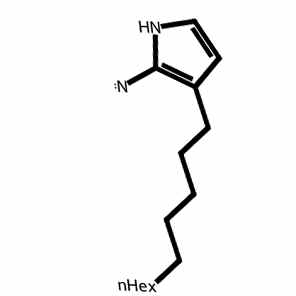 CCCCCCCCCCCc1cc[nH]c1[N]